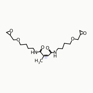 C/C(=C/C(=O)NCCCCOCC1CO1)C(=O)NCCCCOCC1CO1